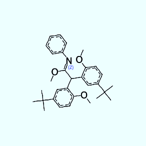 CO/C(=N\c1ccccc1)C(c1cc(C(C)(C)C)ccc1OC)c1cc(C(C)(C)C)ccc1OC